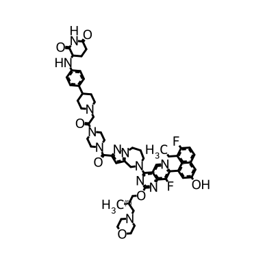 CCc1c(F)ccc2cc(O)cc(-c3ncc4c(N5CCCn6nc(C(=O)N7CCN(C(=O)CN8CCC(c9ccc(NC%10CCC(=O)NC%10=O)cc9)CC8)CC7)cc6C5)nc(OC[C@H](C)CN5CCOCC5)nc4c3F)c12